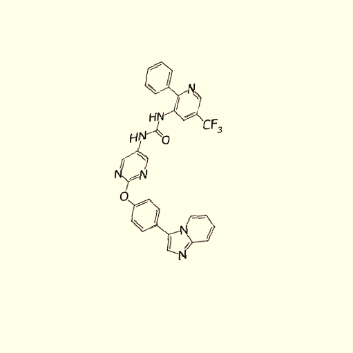 O=C(Nc1cnc(Oc2ccc(-c3cnc4ccccn34)cc2)nc1)Nc1cc(C(F)(F)F)cnc1-c1ccccc1